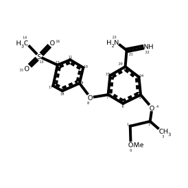 COCC(C)Oc1cc(Oc2ccc(S(C)(=O)=O)cc2)cc(C(=N)N)c1